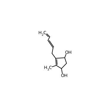 C=C/C=C/CC1=C(C)C(O)CC1O